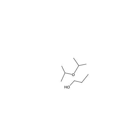 CC(C)OC(C)C.CCCO